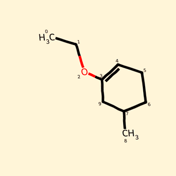 CCOC1=CCCC(C)C1